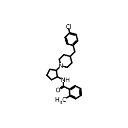 Cc1ccccc1C(=O)NC1CCCC1N1CCC(Cc2ccc(Cl)cc2)CC1